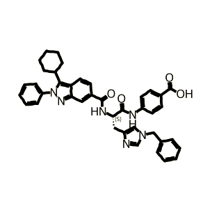 O=C(O)c1ccc(NC(=O)[C@H](Cc2cn(Cc3ccccc3)cn2)NC(=O)c2ccc3c(C4CCCCC4)n(-c4ccccc4)nc3c2)cc1